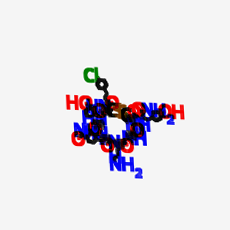 C[C@@H]1NC(=O)[C@H](CCCCN)NC(=O)[C@@H](Cc2ccc(C(N)=O)cc2)NC(=O)[C@H](Cc2ccc(O)cc2)NC(=O)[C@H](NC(=O)CCc2ccc(Cl)cc2)CSSC[C@@H](C(=O)NC(Cc2ccc(O)cc2)C(N)=O)NC1=O